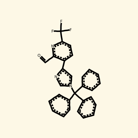 O=Cc1nc(C(F)(F)F)ccc1-c1cn(C(c2ccccc2)(c2ccccc2)c2ccccc2)cn1